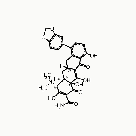 CN(C)[C@H]1C(O)=C(C(N)=O)C(=O)[C@@]2(O)C(O)=C3C(=O)c4c(O)ccc(-c5ccc6c(c5)OCO6)c4C[C@H]3C[C@@H]12